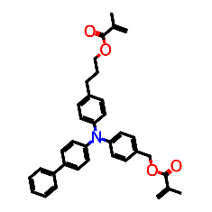 C=C(C)C(=O)OCCCc1ccc(N(c2ccc(COC(=O)C(=C)C)cc2)c2ccc(-c3ccccc3)cc2)cc1